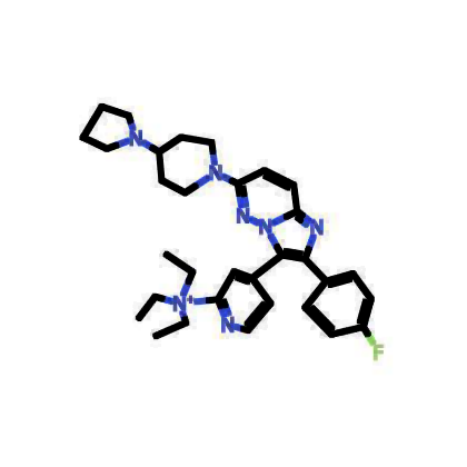 CC[N+](CC)(CC)c1cc(-c2c(-c3ccc(F)cc3)nc3ccc(N4CCC(N5CCCC5)CC4)nn23)ccn1